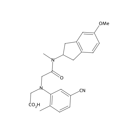 COc1ccc2c(c1)CC(N(C)C(=O)CN(CC(=O)O)c1cc(C#N)ccc1C)C2